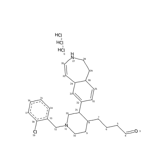 Cl.Cl.Cl.O=CCCCC1CCN(Cc2ccccc2Cl)CC1C1=CC2C=CNCCC2C=C1